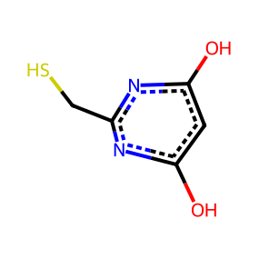 Oc1cc(O)nc(CS)n1